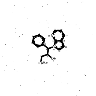 CNCC(O)C(c1ccccc1)n1ccc2cccnc21